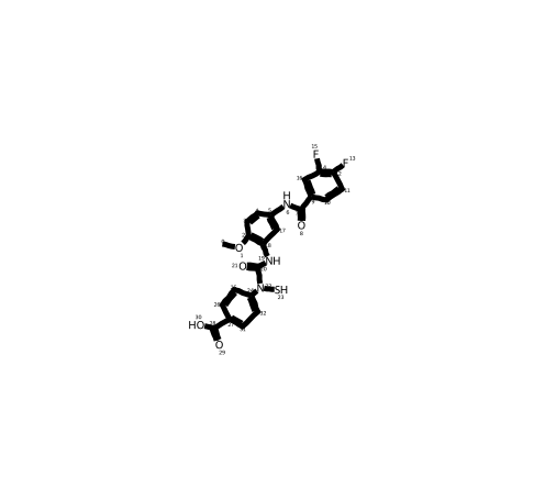 COc1ccc(NC(=O)c2ccc(F)c(F)c2)cc1NC(=O)N(S)c1ccc(C(=O)O)cc1